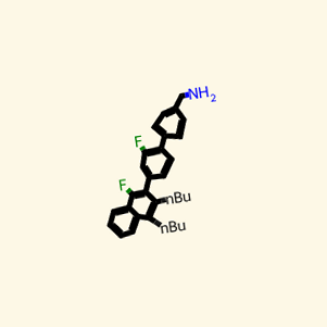 CCCCc1c(-c2ccc(-c3ccc(CN)cc3)c(F)c2)c(F)c2ccccc2c1CCCC